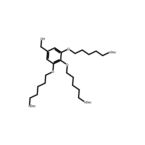 CCCCCCCCCCCCCCCOc1cc(CO)cc(OCCCCCCCCCCCCCCC)c1OCCCCCCCCCCCCCCC